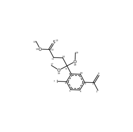 C=C(C)c1ccc(I)c(C(CCC(=S)OC)(OC)OC)c1